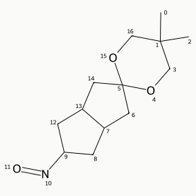 CC1(C)COC2(CC3CC(N=O)CC3C2)OC1